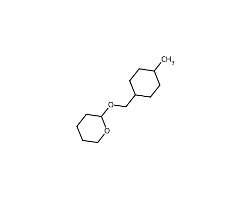 CC1CCC(COC2CCCCO2)CC1